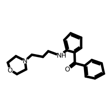 O=C(c1ccccc1)c1ccccc1NCCCN1CCOCC1